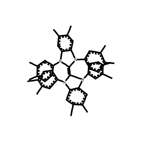 Cc1ccc(N2C(=C3N(c4ccc(C)c(C)c4)c4cc(C)c(C)cc4N3c3ccc(C)c(C)c3)N(c3ccc(C)c(C)c3)c3cc(C)c(C)cc32)cc1C